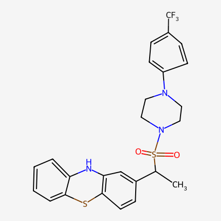 CC(c1ccc2c(c1)Nc1ccccc1S2)S(=O)(=O)N1CCN(c2ccc(C(F)(F)F)cc2)CC1